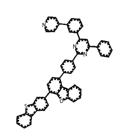 c1ccc(-c2cc(-c3cccc(-c4ccncc4)c3)nc(-c3ccc(-c4ccc(-c5ccc6c(c5)sc5ccccc56)c5oc6ccccc6c45)cc3)n2)cc1